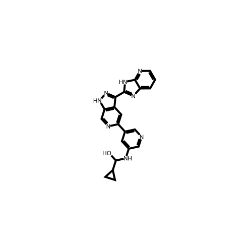 OC(Nc1cncc(-c2cc3c(-c4nc5cccnc5[nH]4)n[nH]c3cn2)c1)C1CC1